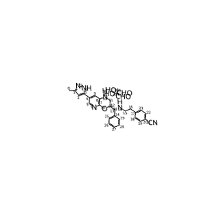 Cc1cc(-c2cnc3c(c2)NC[C@@H]([C@H](NCCc2ccc(C#N)cc2)c2ccccc2)O3)[nH]n1.O=CO.O=CO